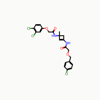 CC1(NC(=O)COc2ccc(Cl)c(Cl)c2)C=C(NC(=O)COCc2ccc(Cl)cc2)C1